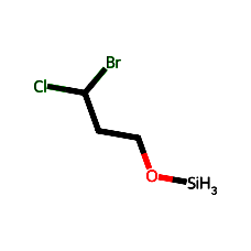 [SiH3]OCCC(Cl)Br